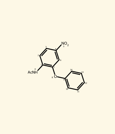 CC(=O)Nc1ccc([N+](=O)[O-])cc1Oc1ccccc1